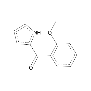 COc1ccccc1C(=O)c1ccc[nH]1